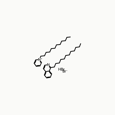 Br.CCCCCCCCCCCC[n+]1ccccc1.CCCCCCCCCCCCc1nccc2ccccc12.[Br-]